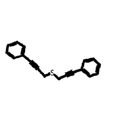 C(#Cc1ccccc1)CSCC#Cc1ccccc1